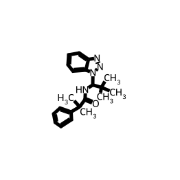 CC(C)(C(=O)NC(n1nnc2ccccc21)C(C)(C)C)c1ccccc1